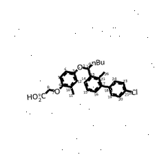 CCCCC(Oc1ccc(OCC(=O)O)c(C)c1)c1cccc(-c2ccc(Cl)cc2)c1C